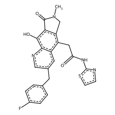 CN1Cc2c(c(O)c3ncc(Cc4ccc(F)cc4)cc3c2CC(=O)Nc2nccs2)C1=O